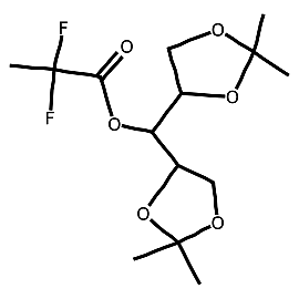 CC1(C)OCC(C(OC(=O)C(C)(F)F)C2COC(C)(C)O2)O1